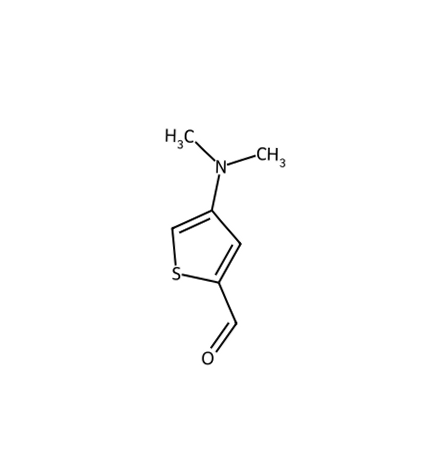 CN(C)c1csc(C=O)c1